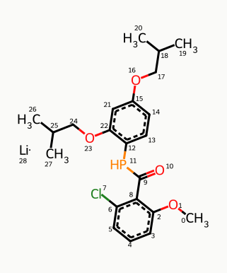 COc1cccc(Cl)c1C(=O)Pc1ccc(OCC(C)C)cc1OCC(C)C.[Li]